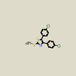 CCCSc1nc(-c2ccc(Cl)cc2)c(-c2ccc(Cl)cc2)s1